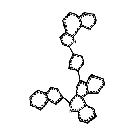 c1ccc2cc(-c3nc4ccccc4c4c3cc(-c3ccc(-c5ccc6ccc7cccnc7c6n5)cc3)c3ccccc34)ccc2c1